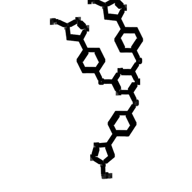 CC(C)n1cc(-c2ccc(Oc3nc(Oc4ccc(-c5cn(C(C)C)nn5)cc4)nc(Oc4ccc(-c5cn(C(C)(C)C)nn5)cc4)n3)cc2)nn1